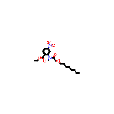 CCCCCCCCOCC(=O)N(C)c1cc([N+](=O)[O-])ccc1C(=O)OCC